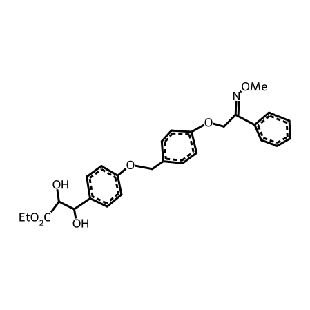 CCOC(=O)C(O)C(O)c1ccc(OCc2ccc(OCC(=NOC)c3ccccc3)cc2)cc1